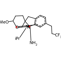 COC1CCC2(CC1)Cc1ccc(CCC(F)(F)F)cc1C21N=C(N)N(C(C)C)C1=O